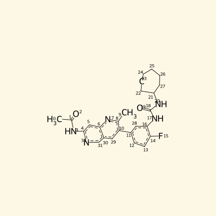 CC(=O)Nc1cc2nc(C)c(-c3ccc(F)c(NC(=O)NC4CCCCCC4)c3)cc2cn1